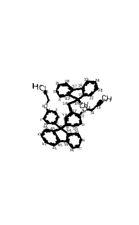 C#CCOc1ccc(C2(c3ccc(OCC#C)c(CC4(C)c5ccccc5-c5ccccc54)c3)c3ccccc3-c3ccccc32)cc1